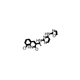 C[C@H](Nc1nccc(Nc2ncco2)n1)c1cc2cccc(Cl)c2[nH]c1=O